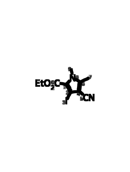 CCOC(=O)c1c(I)c(C#N)c(C)n1C